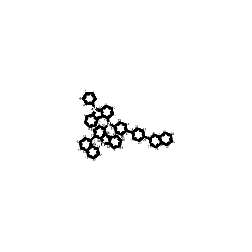 c1ccc(-n2c3ccccc3c3c(N(c4ccc(-c5ccc(-c6ccc7ccccc7c6)cc5)cc4)c4ccc(-c5cccc6ccccc56)c5oc6ccccc6c45)cccc32)cc1